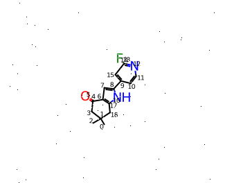 CC1(C)CC(=O)c2cc(-c3ccnc(F)c3)[nH]c2C1